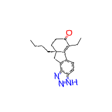 CCCC[C@@]12CCC(=O)C(CC)=C1c1ccc3[nH]nnc3c1C2